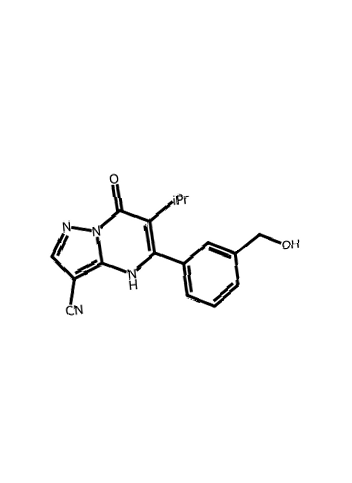 CC(C)c1c(-c2cccc(CO)c2)[nH]c2c(C#N)cnn2c1=O